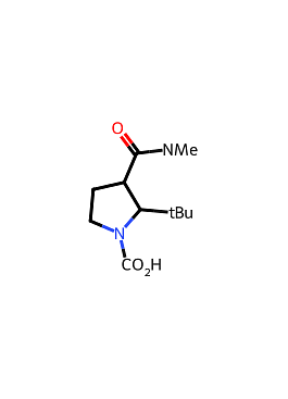 CNC(=O)C1CCN(C(=O)O)C1C(C)(C)C